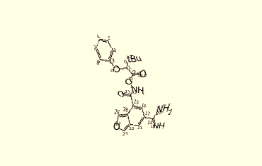 CC(C)(C)C(Oc1ccccc1)C(=O)ONC(=O)c1cc(C(=N)N)cc2cocc12